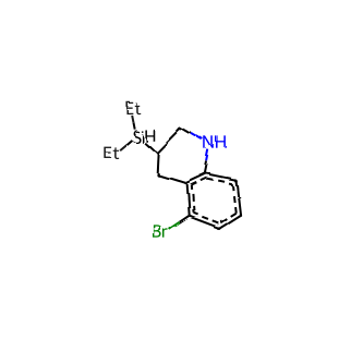 CC[SiH](CC)C1CNc2cccc(Br)c2C1